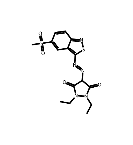 CCN1C(=O)C(/N=N/c2snc3ccc(S(C)(=O)=O)cc23)C(=O)N1CC